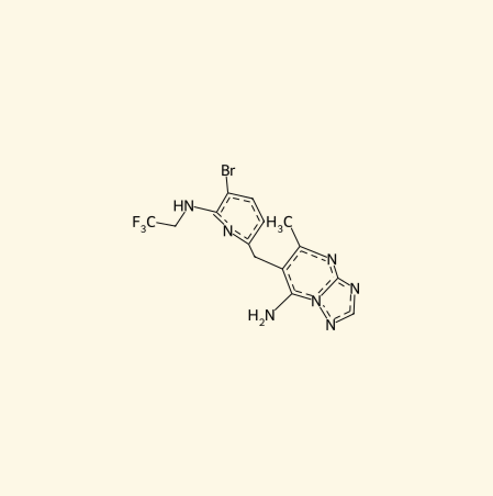 Cc1nc2ncnn2c(N)c1Cc1ccc(Br)c(NCC(F)(F)F)n1